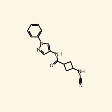 N#CNC1CC(C(=O)Nc2cnn(-c3ccccc3)c2)C1